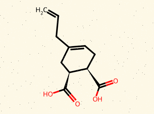 C=CCC1=CC[C@@H](C(=O)O)[C@@H](C(=O)O)C1